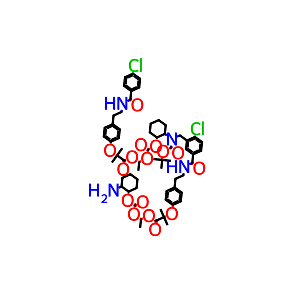 CC(OC(=O)O[C@@H]1CCCCC1N)OC(=O)C(C)(C)Oc1ccc(CCNC(=O)c2ccc(Cl)c(CN(C(=O)OC(C)(C)C)C3CCCC[C@H]3OC(=O)OC(C)OC(=O)C(C)(C)Oc3ccc(CCNC(=O)c4ccc(Cl)cc4)cc3)c2)cc1